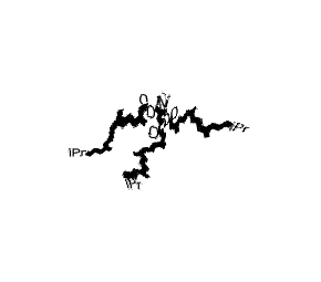 CC(C)CCCC(C)CCCC(C)CCCC(C)CC(=O)OCC(COC(=O)CC(C)CCCC(C)CCCC(C)CCCC(C)C)(COC(=O)CC(C)CCCC(C)CCCC(C)CCCC(C)C)[N+](C)(C)C